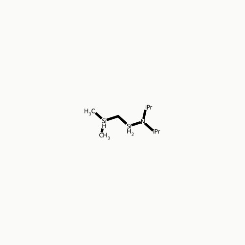 CC(C)N([SiH2]C[SiH](C)C)C(C)C